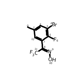 Cc1cc(Br)c(F)c(/C(=N/O)C(F)(F)F)c1